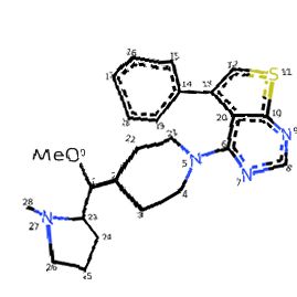 COC(C1CCN(c2ncnc3scc(-c4ccccc4)c23)CC1)C1CCCN1C